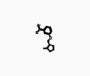 CN1CCCC1COc1cccc([N+](=O)[O-])c1